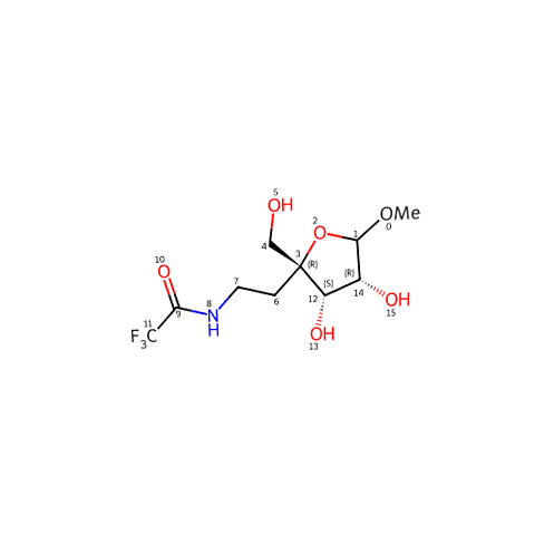 COC1O[C@@](CO)(CCNC(=O)C(F)(F)F)[C@@H](O)[C@H]1O